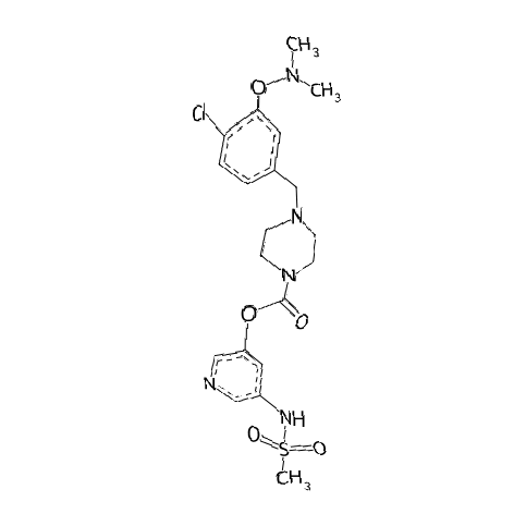 CN(C)Oc1cc(CN2CCN(C(=O)Oc3cncc(NS(C)(=O)=O)c3)CC2)ccc1Cl